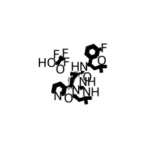 CC1(C)CC(=O)N([C@@H](c2cccnc2)[C@@H]2C[C@H]2C(=O)NC2CC(C)(C)Oc3c(F)cccc32)C(=N)N1.O=C(O)C(F)(F)F